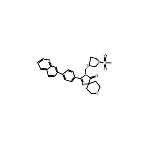 CS(=O)(=O)N1CC[C@@H](CN2C(=O)C3(CCOCC3)N=C2c2ccc(-c3ccc4cccnc4c3)cc2)C1